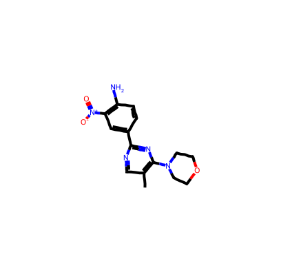 Cc1cnc(-c2ccc(N)c([N+](=O)[O-])c2)nc1N1CCOCC1